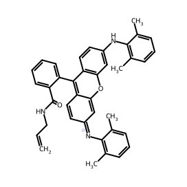 C=CCNC(=O)c1ccccc1-c1c2cc/c(=N/c3c(C)cccc3C)cc-2oc2cc(Nc3c(C)cccc3C)ccc12